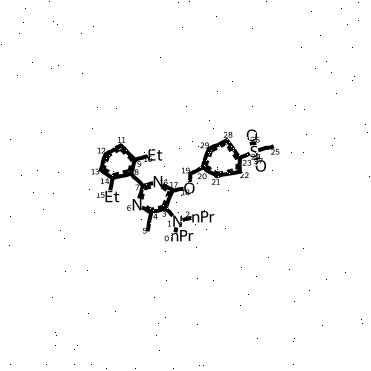 CCCN(CCC)c1c(C)nc(-c2c(CC)cccc2CC)nc1OCc1ccc(S(C)(=O)=O)cc1